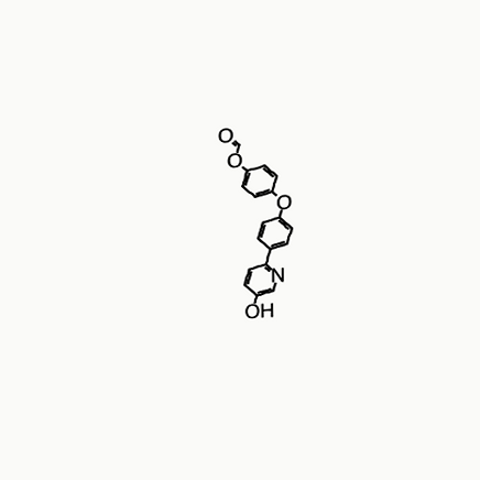 O=COc1ccc(Oc2ccc(-c3ccc(O)cn3)cc2)cc1